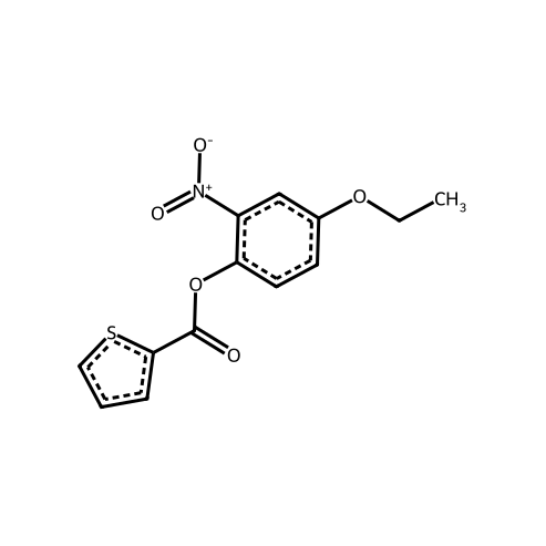 CCOc1ccc(OC(=O)c2cccs2)c([N+](=O)[O-])c1